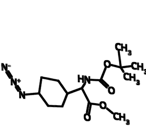 COC(=O)C(NC(=O)OC(C)(C)C)C1CCC(N=[N+]=[N-])CC1